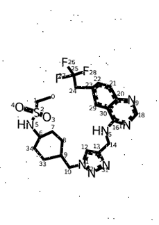 CCS(=O)(=O)NC1CCC(Cn2cc(CNc3ncnc4ccc(CC(F)(F)F)cc34)nn2)CC1